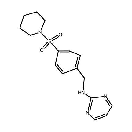 O=S(=O)(c1ccc(CNc2ncccn2)cc1)N1CCCCC1